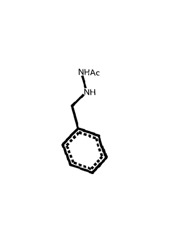 CC(=O)NNCc1ccccc1